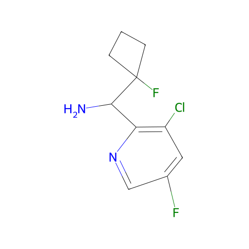 NC(c1ncc(F)cc1Cl)C1(F)CCC1